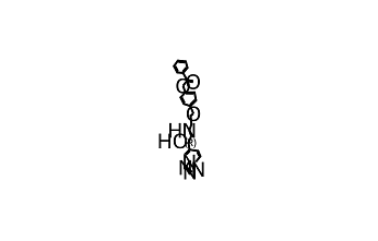 O=C(Oc1ccc(OCCNC[C@H](O)c2ccc3nnnn3c2)cc1)c1ccccc1